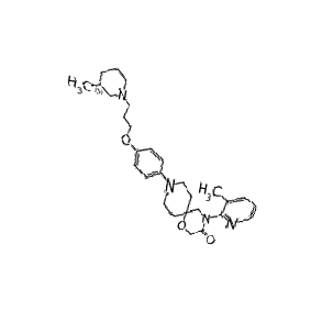 Cc1cccnc1N1CC2(CCN(c3ccc(OCCCN4CCC[C@H](C)C4)cc3)CC2)OCC1=O